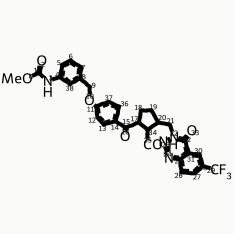 COC(=O)Nc1cccc(COc2ccc(C(=O)C3CCC(Cn4nnc5ccc(C(F)(F)F)cc5c4=O)C3C(=O)O)cc2)c1